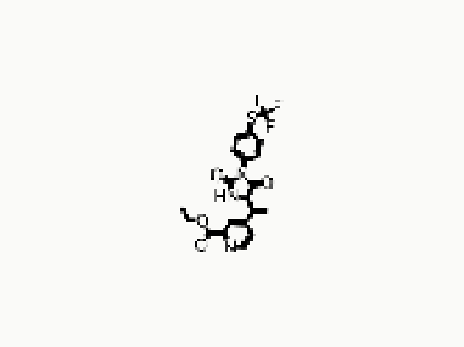 CCOC(=O)c1cc(C(C)C2NC(=O)N(c3ccc(SC(F)(F)F)cc3)C2=O)ccn1